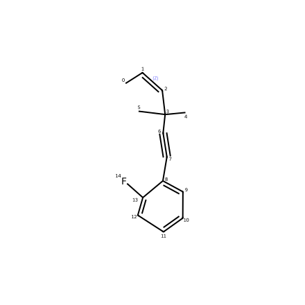 C/C=C\C(C)(C)C#Cc1ccccc1F